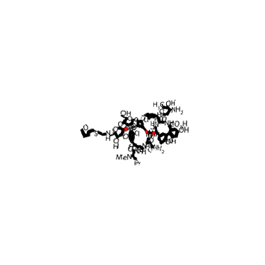 CN[C@H](CC(C)C)C(=O)NC1C(=O)N[C@@H](CC(N)=O)C(=O)N[C@H]2C(=O)N[C@H]3C(=O)N[C@H](C(=O)N[C@@H](C(=O)O)c4cc(O)cc(O)c4-c4cc3ccc4O)[C@H](O[C@H]3C[C@H](N)[C@@H](O)[C@H](C)O3)c3ccc(c(Cl)c3)Oc3cc2cc(c3O[C@@H]2O[C@H](CO)[C@@H](O[C@@H]3O[C@H](CNCCSCc4ccco4)[C@H](O)[C@H](O)[C@H]3O)[C@H](O)[C@H]2O)Oc2ccc(cc2Cl)[C@H]1O